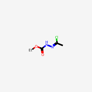 CCOC(=O)NN=C(C)Cl